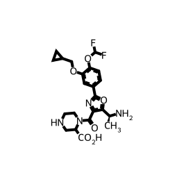 C[C@H](N)c1oc(-c2ccc(OC(F)F)c(OCC3CC3)c2)nc1C(=O)N1CCNCC1C(=O)O